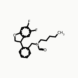 CCCCCN(C=O)Cc1ccccc1C1COc2cc(F)c(F)cc21